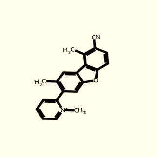 Cc1cc2c(cc1-c1cccc[n+]1C)oc1ccc(C#N)c(C)c12